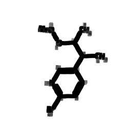 COOC(C)C(C)c1ccc(Br)nc1